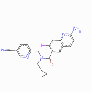 Cc1cc2cc(C(=O)N(Cc3ccc(C#N)cn3)CC3CC3)c(I)cc2nc1N